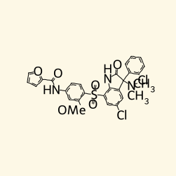 COc1cc(NC(=O)c2ccco2)ccc1S(=O)(=O)c1cc(Cl)cc2c1NC(=O)C2(c1ccccc1Cl)N(C)C